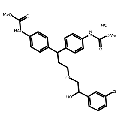 COC(=O)[AsH]c1ccc(C(CCNCC(O)c2cccc(Cl)c2)c2ccc([AsH]C(=O)OC)cc2)cc1.Cl